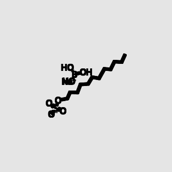 CCCCCCCCCCCCOS(=O)(=O)[O-].OB(O)O.[Na+]